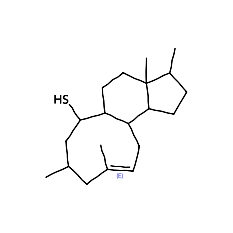 C/C1=C\CC2C(CCC3(C)C(C)CCC23)C(S)CC(C)C1